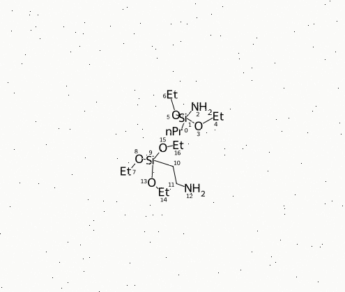 CCC[Si](N)(OCC)OCC.CCO[Si](CCN)(OCC)OCC